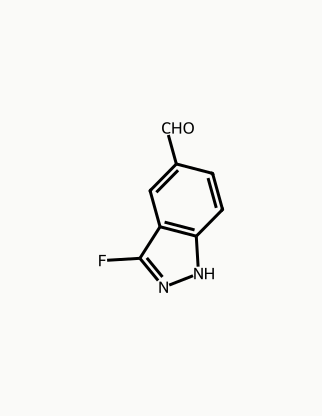 O=Cc1ccc2[nH]nc(F)c2c1